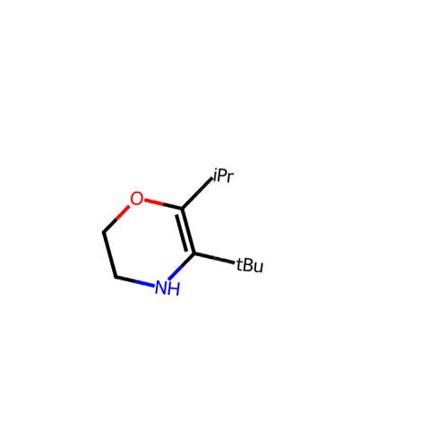 CC(C)C1=C(C(C)(C)C)NCCO1